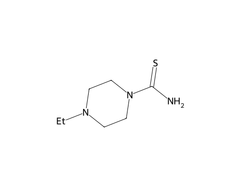 CCN1CCN(C(N)=S)CC1